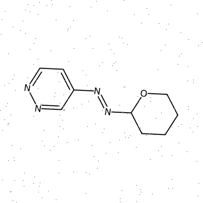 [c]1nnccc1N=NC1CCCCO1